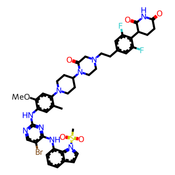 COc1cc(N2CCC(N3CCN(CCc4cc(F)c(C5CCC(=O)NC5=O)c(F)c4)CC3=O)CC2)c(C)cc1Nc1ncc(Br)c(Nc2cccc3ccn(S(C)(=O)=O)c23)n1